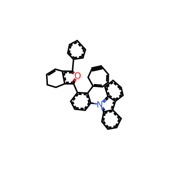 C1#CCC(c2c(-c3oc(-c4ccccc4)c4c3CCC=C4)cccc2-n2c3ccccc3c3ccccc32)=CC=C1